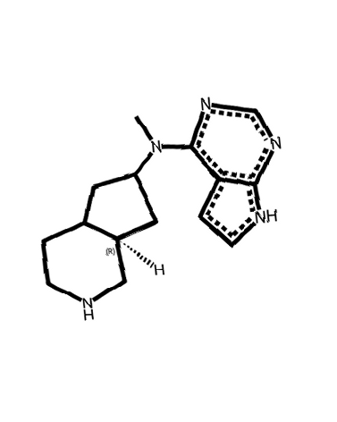 CN(c1ncnc2[nH]ccc12)C1CC2CCNC[C@@H]2C1